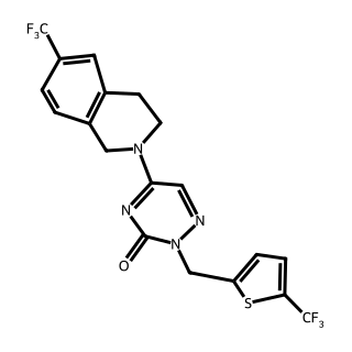 O=c1nc(N2CCc3cc(C(F)(F)F)ccc3C2)cnn1Cc1ccc(C(F)(F)F)s1